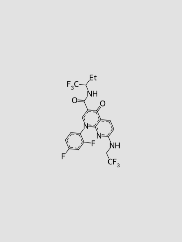 CCC(NC(=O)c1cn(-c2ccc(F)cc2F)c2nc(NCC(F)(F)F)ccc2c1=O)C(F)(F)F